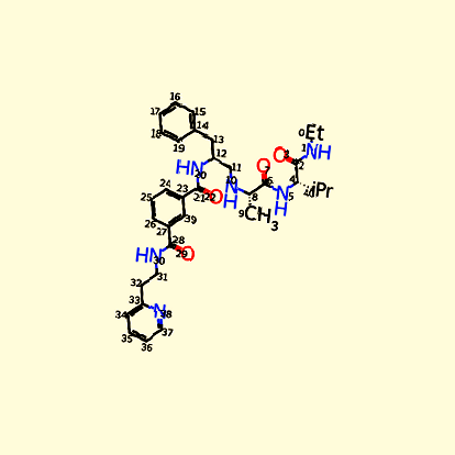 CCNC(=O)[C@@H](NC(=O)[C@H](C)NC[C@H](Cc1ccccc1)NC(=O)c1cccc(C(=O)NCCc2ccccn2)c1)C(C)C